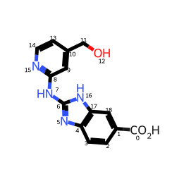 O=C(O)c1ccc2nc(Nc3cc(CO)ccn3)[nH]c2c1